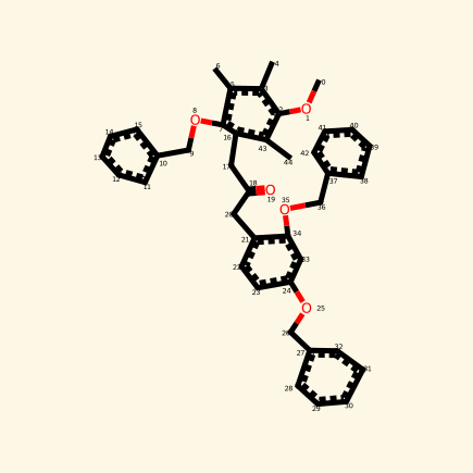 COc1c(C)c(C)c(OCc2ccccc2)c(CC(=O)Cc2ccc(OCc3ccccc3)cc2OCc2ccccc2)c1C